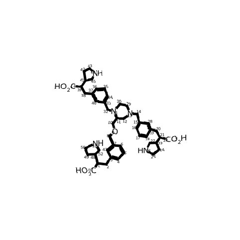 O=C(O)C(Cc1cccc(COCC2CN(Cc3cccc(CC(C(=O)O)C4CCNC4)c3)CCN2Cc2cccc(CC(C(=O)O)C3CCNC3)c2)c1)C1CCNC1